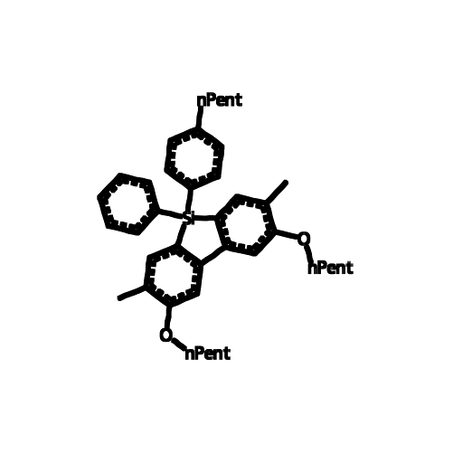 CCCCCOc1cc2c(cc1C)[Si](c1ccccc1)(c1ccc(CCCCC)cc1)c1cc(C)c(OCCCCC)cc1-2